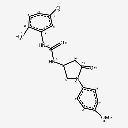 COc1ccc(N2CC(NC(=O)Nc3cc(Cl)ccc3C)CC2=O)cc1